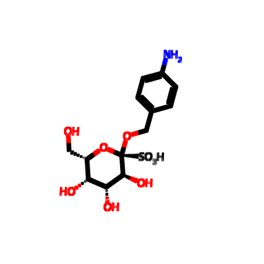 Nc1ccc(CO[C@@]2(S(=O)(=O)O)O[C@@H](CO)[C@@H](O)[C@@H](O)[C@@H]2O)cc1